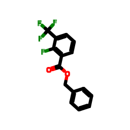 O=C(OCc1ccccc1)c1cccc(C(F)(F)F)c1F